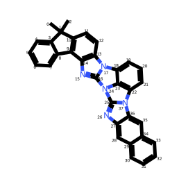 CC1(C)c2ccccc2-c2c1ccc1c2nc2n1c1cccc3c1n2c1nc2cc4ccccc4cc2n31